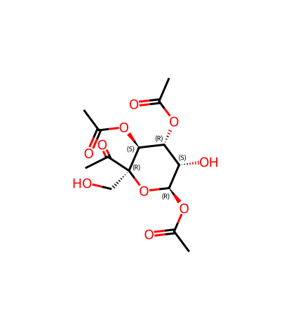 CC(=O)O[C@H]1O[C@@](CO)(C(C)=O)[C@@H](OC(C)=O)[C@H](OC(C)=O)[C@@H]1O